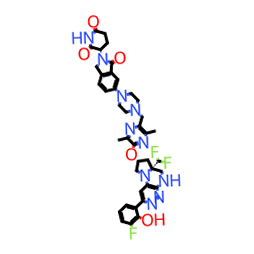 Cc1nc(O[C@H]2CN3c4cc(-c5cccc(F)c5O)nnc4NC[C@]3(C(F)F)C2)c(C)nc1CN1CCN(c2ccc3c(c2)C(=O)N([C@H]2CCC(=O)NC2=O)C3)CC1